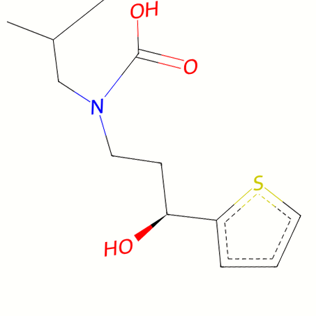 CC(C)CN(CC[C@H](O)c1cccs1)C(=O)O